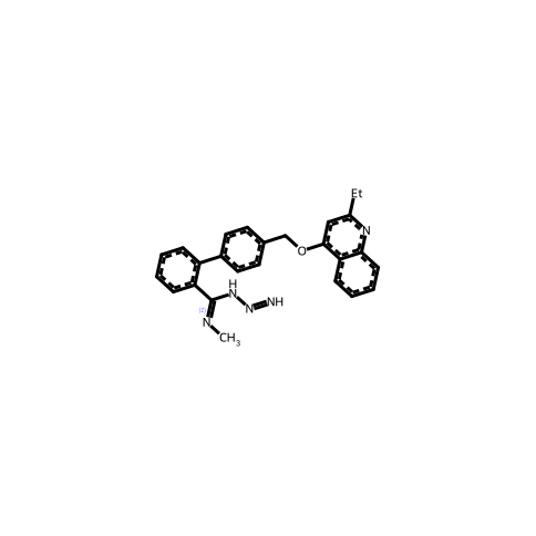 CCc1cc(OCc2ccc(-c3ccccc3/C(=N/C)NN=N)cc2)c2ccccc2n1